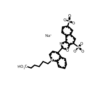 O=C(O)CCCCC[n+]1ccc(-c2nc3c(o2)c(S(=O)(=O)[O-])cc2cc(S(=O)(=O)[O-])ccc23)c2ccccc21.[Na+]